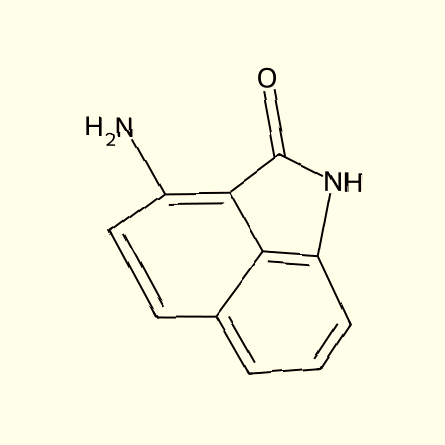 Nc1ccc2cccc3c2c1C(=O)N3